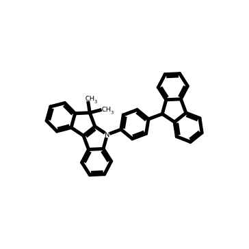 CC1(C)c2ccccc2-c2c1n(-c1ccc(C3c4ccccc4-c4ccccc43)cc1)c1ccccc21